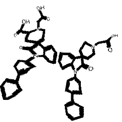 O=C(O)CN1CCC2(CC1)C(=O)N(c1ccc(-c3ccccc3)cc1)c1ccccc12.O=C(O)CN1CCC2(CC1C(=O)O)C(=O)N(c1ccc(-c3ccccc3)cc1)c1ccccc12